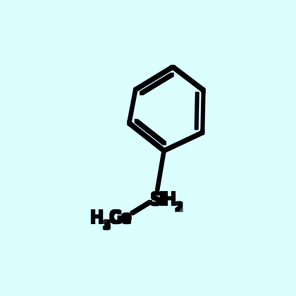 [GeH3][SiH2]c1ccccc1